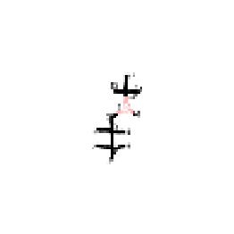 CB(CC(C)(C)C(C)(C)C)C(C)(C)C